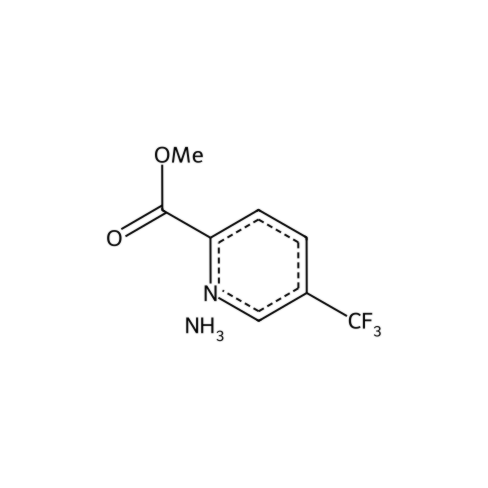 COC(=O)c1ccc(C(F)(F)F)cn1.N